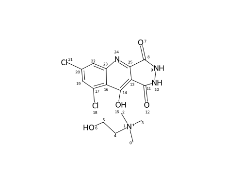 C[N+](C)(C)CCO.O=c1[nH][nH]c(=O)c2c(O)c3c(Cl)cc(Cl)cc3nc12